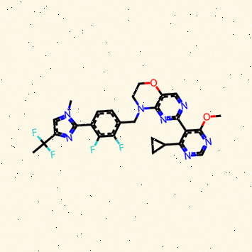 COc1ncnc(C2CC2)c1-c1ncc2c(n1)N(Cc1ccc(-c3nc(C(C)(F)F)cn3C)c(F)c1F)CCO2